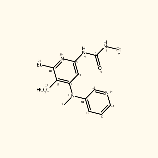 CCNC(=O)Nc1cc(N(C)c2cccnc2)c(C(=O)O)c(CC)n1